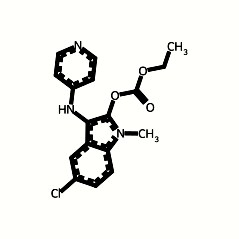 CCOC(=O)Oc1c(Nc2ccncc2)c2cc(Cl)ccc2n1C